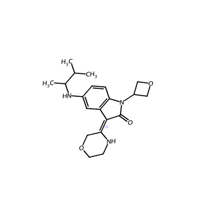 CC(C)C(C)Nc1ccc2c(c1)/C(=C1\COCCN1)C(=O)N2C1COC1